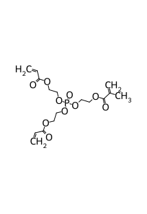 C=CC(=O)OCCOP(=O)(OCCOC(=O)C=C)OCCOC(=O)C(=C)C